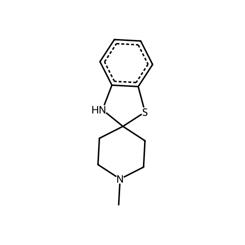 CN1CCC2(CC1)Nc1ccccc1S2